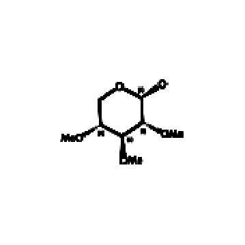 CO[C@@H]1[C@@H](OC)[C@H](OC)CO[C@H]1[O]